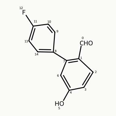 O=Cc1ccc(O)cc1-c1ccc(F)cc1